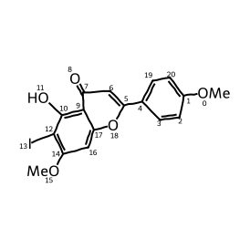 COc1ccc(-c2cc(=O)c3c(O)c(I)c(OC)cc3o2)cc1